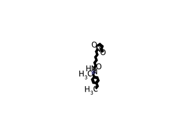 CCc1ccc(/C(C)=N/NC(=O)CCCCCN2C(=O)C=CC2=O)cc1